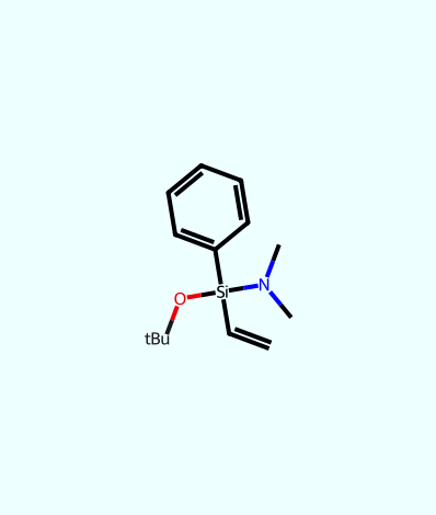 C=C[Si](OC(C)(C)C)(c1ccccc1)N(C)C